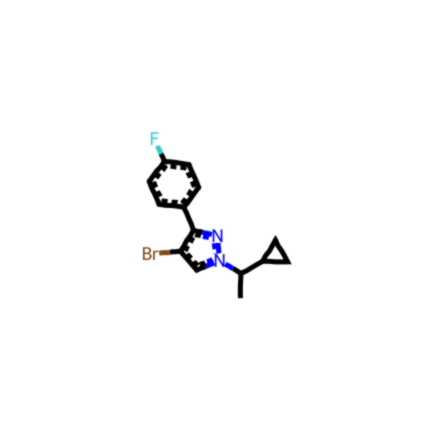 CC(C1CC1)n1cc(Br)c(-c2ccc(F)cc2)n1